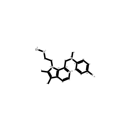 CCOCCn1c(C)c(C)c2ccnc(CN(C)c3ccc(F)cc3)c21